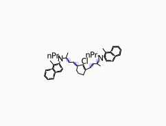 CCCN(/C(C)=C/C=C1\CCCC(/C=C/C(C)=[N+](\CCC)c2ccc3ccccc3c2C)=C1Cl)c1ccc2ccccc2c1C